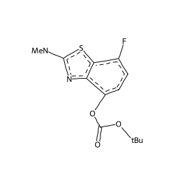 CNc1nc2c(OC(=O)OC(C)(C)C)ccc(F)c2s1